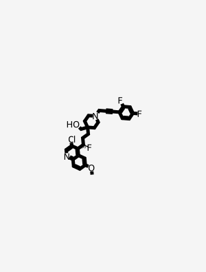 COc1ccc2ncc(Cl)c([C@@H](F)CCC3(CO)CCN(CC#Cc4ccc(F)cc4F)CC3)c2c1